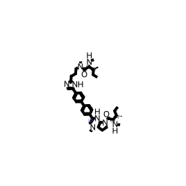 C=N/C=C(\NC1CCCN1C(=O)[C@@H](NC)[C@@H](C)CC)c1ccc(-c2ccc(-c3cnc(CCCN(C)C(=O)[C@@H](NC)[C@@H](C)CC)[nH]3)cc2)cc1